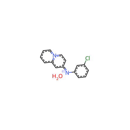 Clc1cccc(/N=c2\ccn3ccccc3c2)c1.O